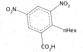 CCCCCCc1c(C(=O)O)cc([N+](=O)[O-])cc1[N+](=O)[O-]